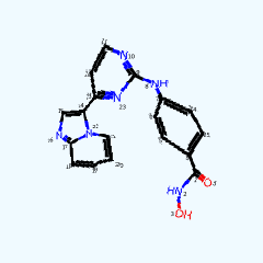 O=C(NO)c1ccc(Nc2nccc(-c3cnc4ccccn34)n2)cc1